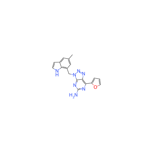 Cc1cc(Cn2nnc3c(-c4ccco4)nc(N)nc32)c2[nH]ccc2c1